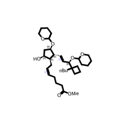 CCCCC1([C@@H](/C=C/[C@@H]2[C@@H](C/C=C\CCCC(=O)OC)[C@@H](O)C[C@H]2OC2CCCCO2)OC2CCCCO2)CCC1